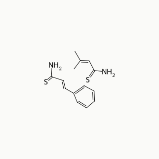 CC(C)=CC(N)=S.NC(=S)C=Cc1ccccc1